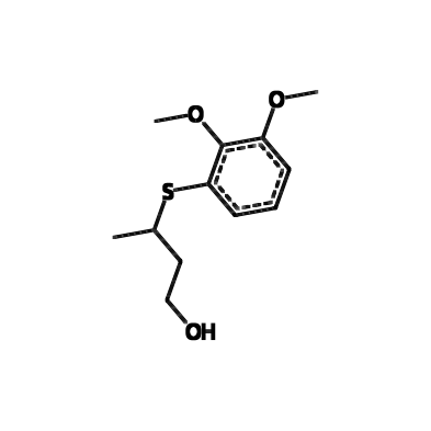 COc1cccc(SC(C)CCO)c1OC